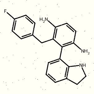 Nc1ccc(N)c(-c2cccc3c2NCC3)c1Cc1ccc(F)cc1